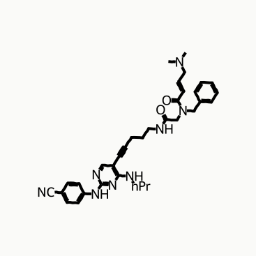 CCCNc1nc(Nc2ccc(C#N)cc2)ncc1C#CCCCNC(=O)CN(Cc1ccccc1)C(=O)/C=C/CN(C)C